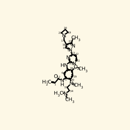 C=CC(=O)Nc1cc(Nc2nccc(-n3cc(CN4CCC4)c(C)n3)n2)c(OC)cc1N(C)CCN(C)C